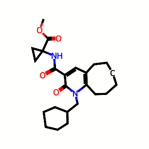 COC(=O)C1(NC(=O)c2cc3c(n(CC4CCCCC4)c2=O)CCCCCC3)CC1